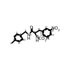 Cc1ccc(CNC(=O)C(Cc2cccc([N+](=O)[O-])c2)NC(=O)O)cc1